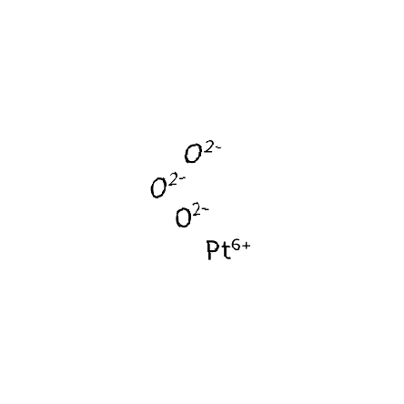 [O-2].[O-2].[O-2].[Pt+6]